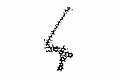 CCC(C)C(C(CC(=O)N1CCC[C@H]1C(OC)C(C)C(=O)NC(Cc1ccccc1)C(=O)Nc1ccc(-c2nc3cc(F)ccc3s2)cc1C)OC)N(C)C(=O)C(NC(=O)C(C)(C)NC(=O)CCOCCOCCOCCOCCOCCOCCN)C(C)C